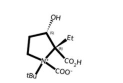 CC[C@]1(C(=O)O)[C@@H](O)CC[N+]1(C(=O)[O-])C(C)(C)C